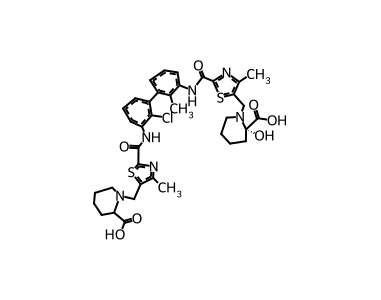 Cc1nc(C(=O)Nc2cccc(-c3cccc(NC(=O)c4nc(C)c(CN5CCCCC5C(=O)O)s4)c3Cl)c2C)sc1CN1CCCC[C@]1(O)C(=O)O